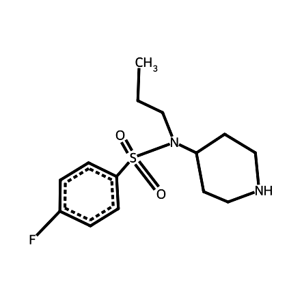 CCCN(C1CCNCC1)S(=O)(=O)c1ccc(F)cc1